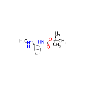 CN/C=C1\C2CCC2[C@H]1NC(=O)OC(C)(C)C